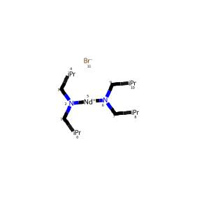 CC(C)C[N](CC(C)C)[Nd+][N](CC(C)C)CC(C)C.[Br-]